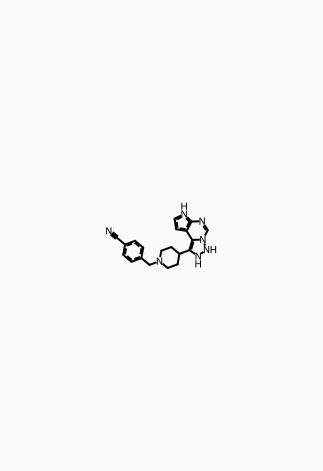 N#Cc1ccc(CN2CCC(C3=C4c5cc[nH]c5N=CN4NN3)CC2)cc1